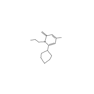 C=C1C=C(C)C=C(C2CCCCC2)N1CCC